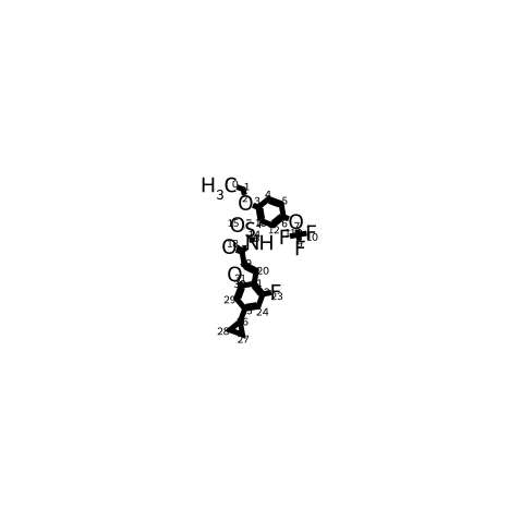 CCOc1ccc(OC(F)(F)F)cc1[S+]([O-])NC(=O)c1cc2c(F)cc(C3CC3)cc2o1